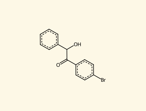 O=C(c1ccc(Br)cc1)C(O)c1ccccc1